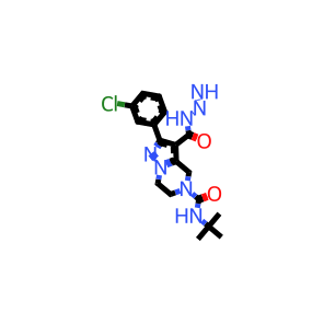 CC(C)(C)NC(=O)N1CCn2nc(-c3cccc(Cl)c3)c(C(=O)NN=N)c2C1